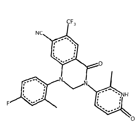 Cc1cc(F)ccc1N1CN(c2ccc(=O)[nH]c2C)C(=O)c2cc(C(F)(F)F)c(C#N)cc21